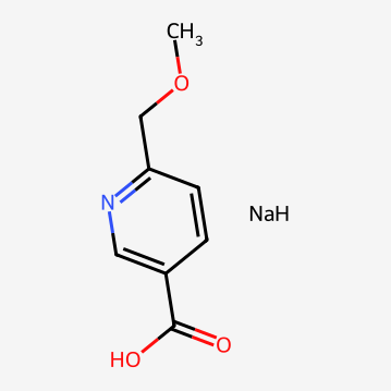 COCc1ccc(C(=O)O)cn1.[NaH]